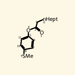 CCCCCCCCC(=O)Oc1ccc(SC)cc1